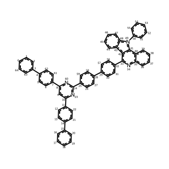 c1ccc(-c2ccc(-c3cc(-c4ccc(-c5ccccc5)cc4)nc(-c4ccc(-c5ccc(-c6nc7ccccc7c7c6c6ccccc6n7-c6ccccc6)cc5)cc4)n3)cc2)cc1